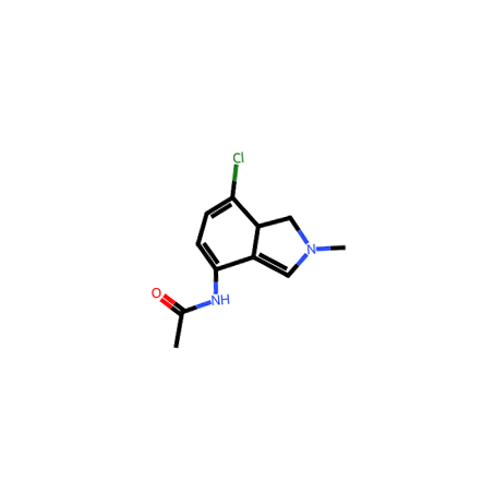 CC(=O)NC1=CC=C(Cl)C2CN(C)C=C12